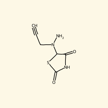 C#CCN(N)C1SC(=O)NC1=O